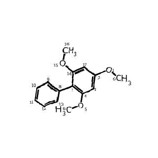 COc1cc(OC)c(-c2ccccc2)c(OC)c1